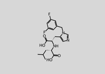 CC(C)C[C@H](N[C@@H](Cc1cncn1Cc1cc(F)cc(F)c1)C(=O)O)C(=O)O